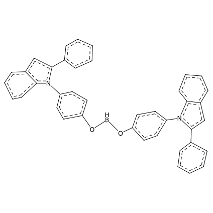 B(Oc1ccc(-n2c(-c3ccccc3)cc3ccccc32)cc1)Oc1ccc(-n2c(-c3ccccc3)cc3ccccc32)cc1